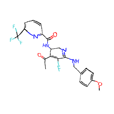 COc1ccc(CNC2=NCC(NC(=O)c3cccc(C(F)(F)F)n3)C(C(C)=O)=C2F)cc1